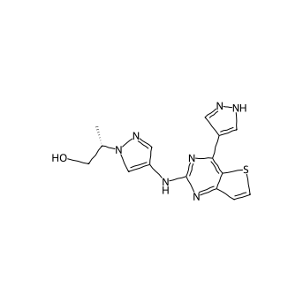 C[C@@H](CO)n1cc(Nc2nc(-c3cn[nH]c3)c3sccc3n2)cn1